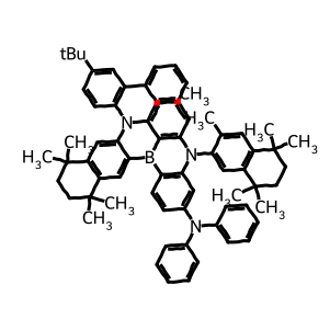 Cc1cc2c3c(c1)N(c1ccc(C(C)(C)C)cc1-c1ccccc1)c1cc4c(cc1B3c1ccc(N(c3ccccc3)c3ccccc3)cc1N2c1cc2c(cc1C)C(C)(C)CCC2(C)C)C(C)(C)CCC4(C)C